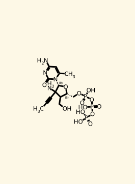 CC#CC1(N)C(CO)[C@@H](COP(=O)(O)OP(=O)(O)OP(=O)(O)O)O[C@H]1n1c(C)cc(N)nc1=O